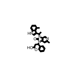 Cc1cc2c(cn1)n(C(C)c1c[nH]c3cccc(C)c13)c(=O)n2C(CC(=O)O)c1ccccc1